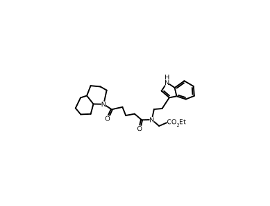 CCOC(=O)CN(CCc1c[nH]c2ccccc12)C(=O)CCCC(=O)N1CCCC2CCCCC21